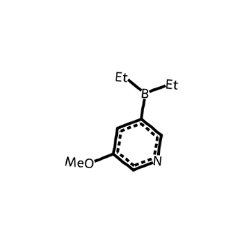 CCB(CC)c1cncc(OC)c1